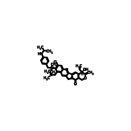 C=C1OCc2c(cc3n(c2=O)Cc2cc4c(CN(C)C)c([N+](C)(C)Cc5ccc(NC(C)C)cc5)c(Cl)cc4nc2-3)[C@@]1(O)CC